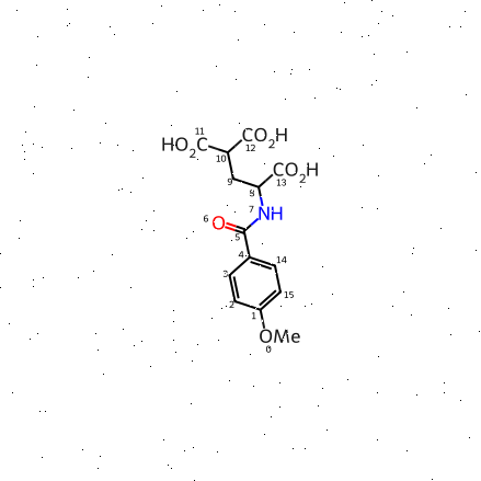 COc1ccc(C(=O)NC(CC(C(=O)O)C(=O)O)C(=O)O)cc1